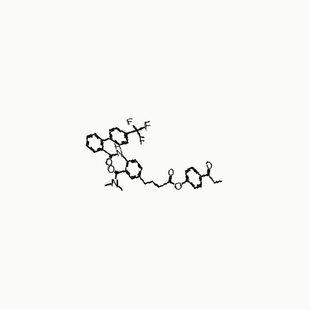 CCC(=O)c1ccc(OC(=O)CCCc2ccc(NC(=O)c3ccccc3-c3ccc(C(F)(F)F)cc3)c(C(=O)N(C)C)c2)cc1